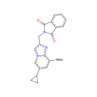 CNc1cc(C2CC2)cn2cc(CN3C(=O)c4ccccc4C3=O)nc12